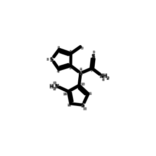 Cc1cscc1N(C(N)=S)c1cscc1N